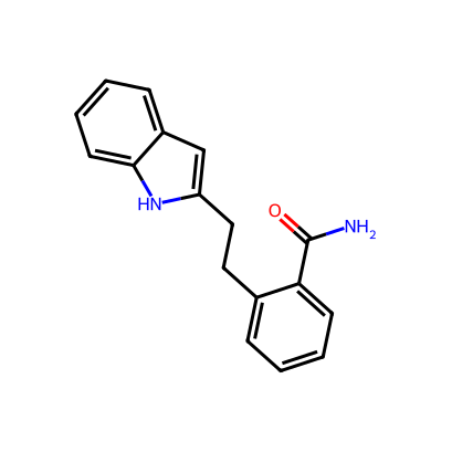 NC(=O)c1ccccc1CCc1cc2ccccc2[nH]1